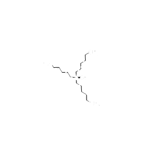 CCCCCCP(=[Se])(CCCCCC)CCCCCC